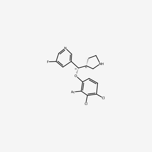 CC(=O)c1c(O[C@H](c2cncc(F)c2)[C@@H]2CCNC2)ccc(Cl)c1Cl